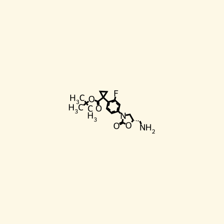 CC(C)(C)OC(=O)C1(c2ccc(N3C[C@H](CN)OC3=O)cc2F)CC1